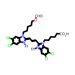 CCN1C(=CC=Cc2n(CC)c3cc(Cl)c(Cl)cc3[n+]2CCCCCC(=O)O)N(CCCCCOC=O)c2cc(Cl)c(Cl)cc21